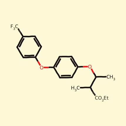 CCOC(=O)C(C)C(C)Oc1ccc(Oc2ccc(C(F)(F)F)cc2)cc1